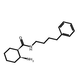 N[C@H]1CCCC[C@H]1C(=O)NCCCCc1ccccc1